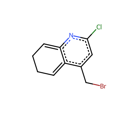 Clc1cc(CBr)c2c(n1)=CCCC=2